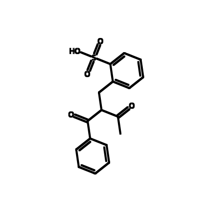 CC(=O)C(Cc1ccccc1S(=O)(=O)O)C(=O)c1ccccc1